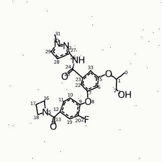 CC(CO)Oc1cc(Oc2ccc(C(=O)N3CCC3)cc2F)cc(C(=O)Nc2ccn(C)n2)c1